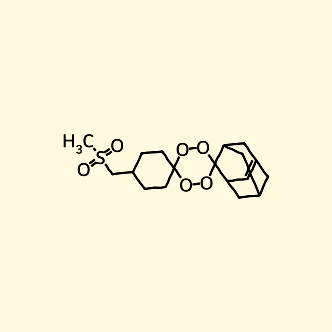 CS(=O)(=O)CC1CCC2(CC1)OOC1(OO2)C2C=C3CC(C2)CC1C3